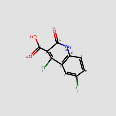 O=C(O)c1c(Cl)c2cc(F)ccc2[nH]c1=O